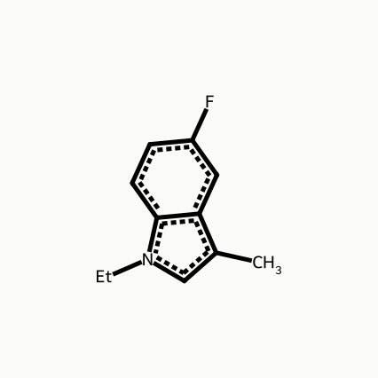 CCn1cc(C)c2cc(F)ccc21